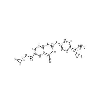 C[C@H](N)c1ccc(CN2Cc3ccc(OCC4CC4)cc3C(F)C2)cc1